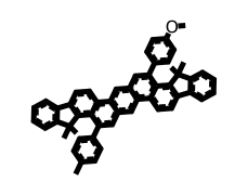 COc1ccc(-c2cc3cc4c(cc(-c5ccc(C)cc5)c5c6c(ccc54)-c4ccccc4C6(C)C)cc3c3ccc4c(c23)C(C)(C)c2ccccc2-4)cc1